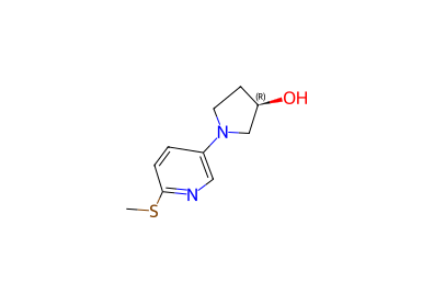 CSc1ccc(N2CC[C@@H](O)C2)cn1